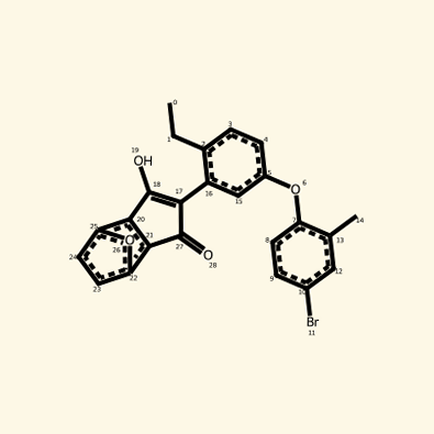 CCc1ccc(Oc2ccc(Br)cc2C)cc1C1=C(O)c2c(c3ccc2o3)C1=O